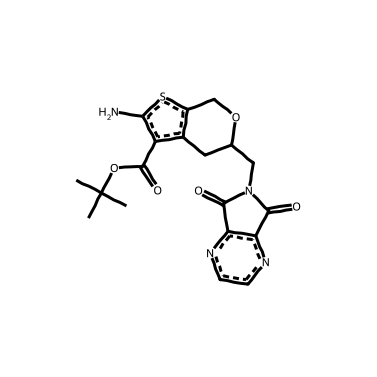 CC(C)(C)OC(=O)c1c(N)sc2c1CC(CN1C(=O)c3nccnc3C1=O)OC2